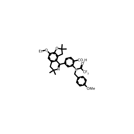 CCOc1cc2c(c3c1OC(C)(C)C3)C(c1ccc(C(=O)O)c(N(Cc3ccc(OC)cc3)C(=O)C(F)(F)F)c1)=NC(C)(C)C2